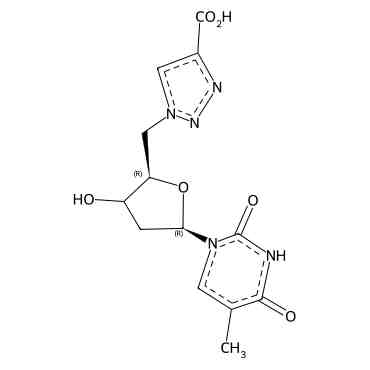 Cc1cn([C@H]2CC(O)[C@@H](Cn3cc(C(=O)O)nn3)O2)c(=O)[nH]c1=O